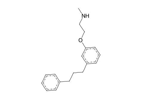 CNCCOc1cccc(CCCc2ccccc2)c1